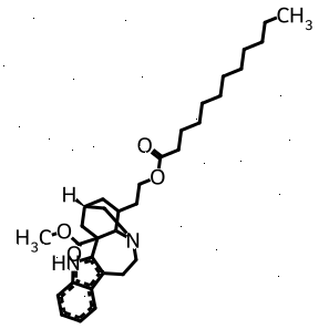 CCCCCCCCCCCC(=O)OCCC1C[C@@H]2CN3CCc4c([nH]c5ccccc45)C(C(=O)OC)(C2)C13